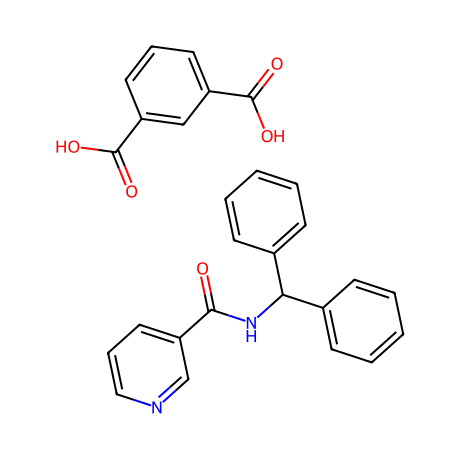 O=C(NC(c1ccccc1)c1ccccc1)c1cccnc1.O=C(O)c1cccc(C(=O)O)c1